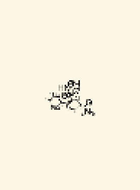 CN(C)C(=O)c1ccc(-c2ccccc2)c(S(=O)(=O)NO)c1